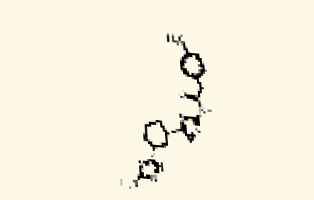 Cc1ccc(CC(=O)Nc2ncc([C@@H]3CCC[C@@H](c4nnc(N)s4)C3)s2)cc1